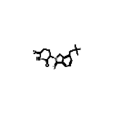 CC(C)(C)Cc1cccc2c1CN(C1CCC(=O)NC1=O)C2=O